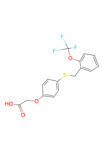 O=C(O)COc1ccc(SCc2ccccc2OC(F)(F)F)cc1